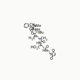 CN[C@H](C(=O)NC(C(=O)N(C)C/C=C(\C)C(=O)N[C@H](CCC(=O)NCCN1C(=O)C=CC1=O)C(=O)O)C(C)(C)C)C(C)(C)c1ccccc1